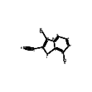 N#Cc1sc2c(Cl)cccc2c1Cl